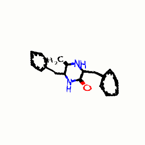 C=C1NC(Cc2ccccc2)C(=O)NC1Cc1ccccc1